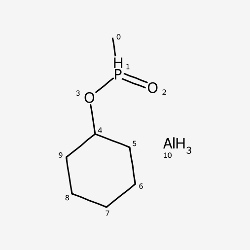 C[PH](=O)OC1CCCCC1.[AlH3]